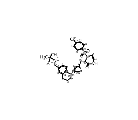 CC(C)(C)NCc1ccc2c(c1)CCC[C@H]2n1cc(C[C@@H]2C(=O)NC=CN2S(=O)(=O)c2ccc(Cl)cc2)nn1